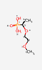 COCCOC(C)P(=O)(O)O